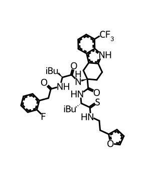 CCC(C)[C@H](NC(=O)Cc1ccccc1F)C(=O)N[C@]1(C(=O)N[C@H](C(=S)NCCc2ccco2)C(C)CC)CCc2[nH]c3c(C(F)(F)F)cccc3c2C1